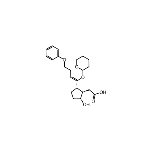 O=C(O)C[C@@H]1[C@@H](C(=CCCOc2ccccc2)OC2CCCCO2)CC[C@@H]1O